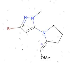 CO/C=C1\CCCN1c1cc(Br)nn1C